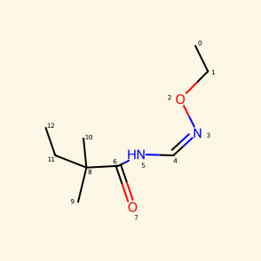 CCO/N=C\NC(=O)C(C)(C)CC